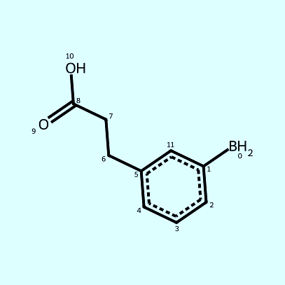 Bc1cccc(CCC(=O)O)c1